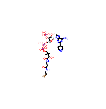 CC(C)(COP(=O)(O)OP(=O)(O)OC[C@H]1O[11C@@H](n2cnc3c(N)nc(-c4ccncc4)nc32)[C@H](O)[C@@H]1OP(=O)(O)O)[C@@H](O)C(=O)NCCC(=O)NCCS